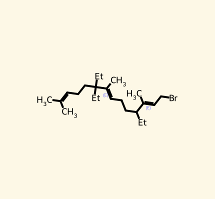 CCC(CC/C=C(\C)C(CC)(CC)CCC=C(C)C)/C(C)=C/CBr